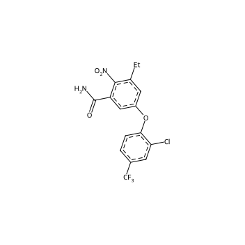 CCc1cc(Oc2ccc(C(F)(F)F)cc2Cl)cc(C(N)=O)c1[N+](=O)[O-]